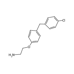 NCCOc1ccc(Cc2ccc(Cl)cc2)cc1